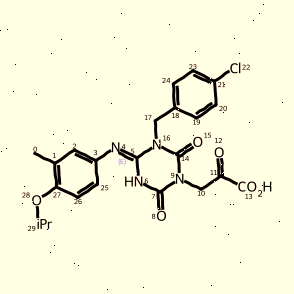 Cc1cc(/N=c2\[nH]c(=O)n(CC(=O)C(=O)O)c(=O)n2Cc2ccc(Cl)cc2)ccc1OC(C)C